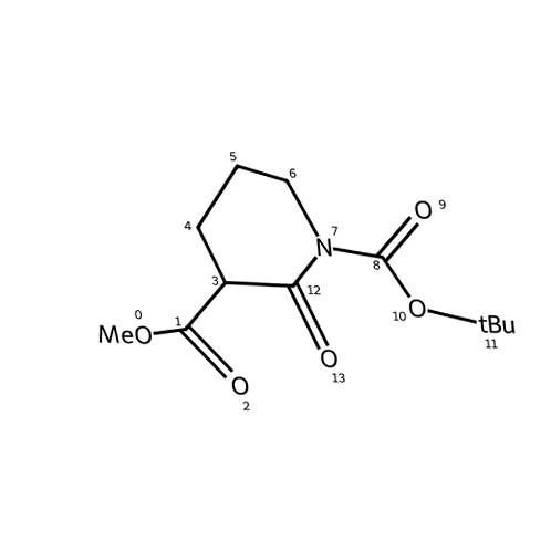 COC(=O)C1CCCN(C(=O)OC(C)(C)C)C1=O